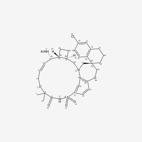 CC(=O)N[C@H]1C=CCOC(C)(C)C(=O)NS(=O)(=O)c2ccc3c(c2)N(C[C@@H]2CC[C@H]21)C[C@@]1(CCCc2cc(Cl)ccc21)CO3